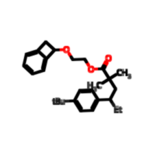 CCC(CC(C)(C)C(=O)OCCOC1Cc2ccccc21)c1ccc(C(C)(C)C)cc1